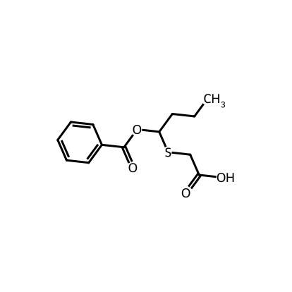 CCCC(OC(=O)c1ccccc1)SCC(=O)O